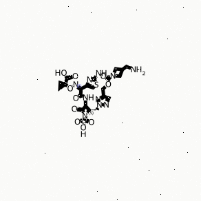 NCC1CN(C(=O)OCc2cnn(C[C@H]3C(NC(=O)/C(=N\OC4(C(=O)O)CC4)c4csc(N)n4)C(=O)N3S(=O)(=O)O)n2)C1